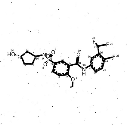 COc1ccc(S(=O)(=O)NC2CC[C@H](O)C2)cc1C(=O)Nc1ccc(F)c(C(F)F)c1